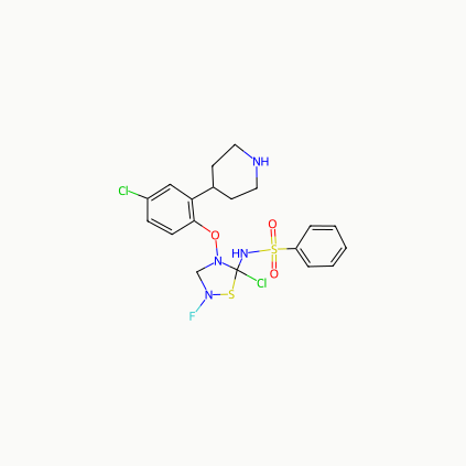 O=S(=O)(NC1(Cl)SN(F)CN1Oc1ccc(Cl)cc1C1CCNCC1)c1ccccc1